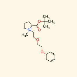 CC(C)(C)OC(=O)C1CCC[N+]1(C)CCOCCOc1ccccc1